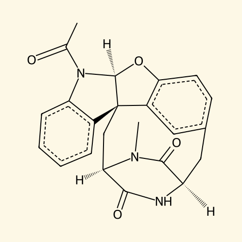 CC(=O)N1c2ccccc2[C@]23C[C@@H]4C(=O)N[C@H](Cc5ccc(c2c5)O[C@H]13)C(=O)N4C